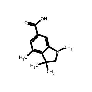 Cc1cc(C(=O)O)cc2c1C(C)(C)CN2C